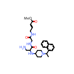 COC(=O)/C=C/CNC(=O)CNC(=O)C(CN)NC1CCN(C(C)c2cccc3ccccc23)CC1